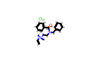 C=C[N+](C)(C)CCN(Cc1ccccc1)C(=O)c1ccccc1.[Cl-]